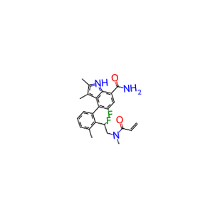 C=CC(=O)N(C)CC(F)c1c(C)cccc1-c1c(F)cc(C(N)=O)c2[nH]c(C)c(C)c12